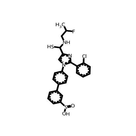 CC(F)CNC(S)c1cn(-c2ccc(-c3cccc(S(=O)O)c3)cc2)c(-c2ccccc2Cl)n1